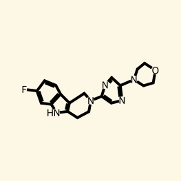 Fc1ccc2c3c([nH]c2c1)CCN(c1cnc(N2CCOCC2)cn1)C3